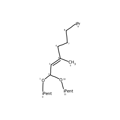 CCCC(C)OC(/C=C(\C)CCCC(C)C)OC(C)CCC